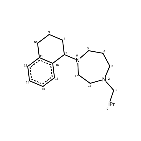 CC(C)CN1CCCN(C2CCCc3ccccc32)CC1